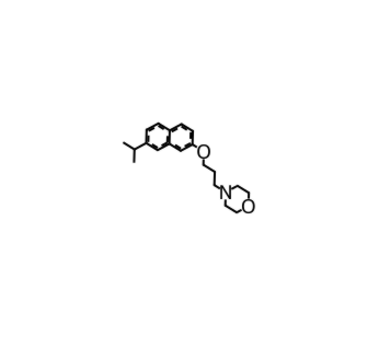 CC(C)c1ccc2ccc(OCCCN3CCOCC3)cc2c1